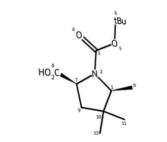 C[C@@H]1N(C(=O)OC(C)(C)C)[C@H](C(=O)O)CC1(C)C